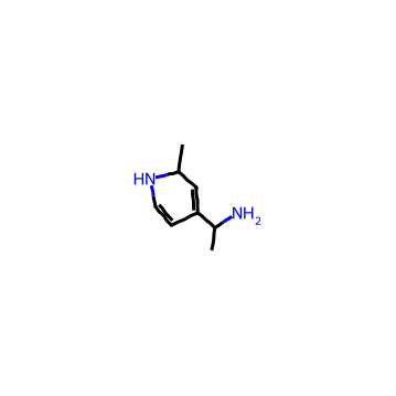 CC1C=C(C(C)N)C=CN1